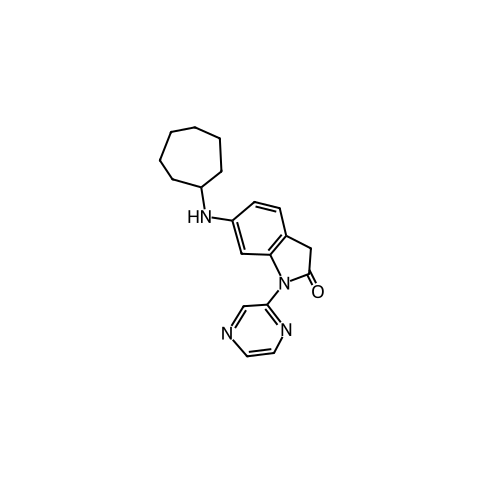 O=C1Cc2ccc(NC3CCCCCC3)cc2N1c1cnccn1